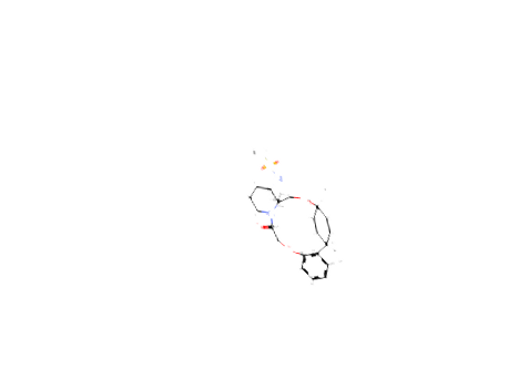 CC(C)S(=O)(=O)N[C@H]1CCCN2C(=O)COc3ccccc3[C@H]3CC[C@H](CC3)OC[C@@H]12